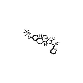 CC(C)(C)[Si](C)(C)Oc1ccc2c(c1)CC[C@@H]1[C@@H]2CC[C@]2(C)C(=O)C([S+]([O-])c3ccccn3)C[C@@H]12